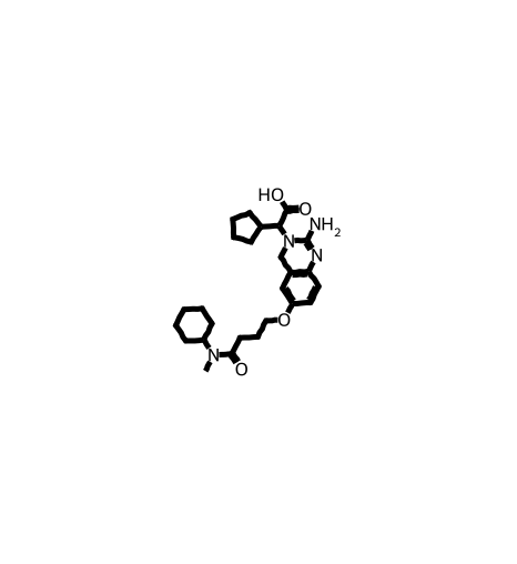 CN(C(=O)CCCOc1ccc2c(c1)CN(C(C(=O)O)C1CCCC1)C(N)=N2)C1CCCCC1